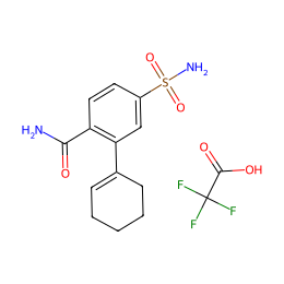 NC(=O)c1ccc(S(N)(=O)=O)cc1C1=CCCCC1.O=C(O)C(F)(F)F